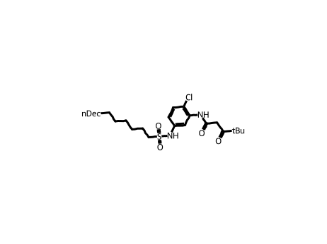 CCCCCCCCCCCCCCCCS(=O)(=O)Nc1ccc(Cl)c(NC(=O)CC(=O)C(C)(C)C)c1